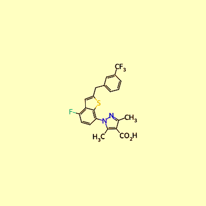 Cc1nn(-c2ccc(F)c3cc(Cc4cccc(C(F)(F)F)c4)sc23)c(C)c1C(=O)O